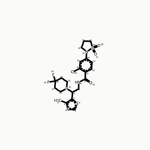 Cc1ncsc1C(CNC(=O)c1ccc(N2CCCS2(=O)=O)cc1Cl)N1CCC(F)(F)CC1